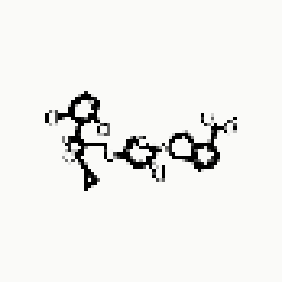 COC(=O)c1cccc2c1CCN(c1ccc(OCc3c(-c4c(Cl)cccc4Cl)noc3C3CC3)cc1Cl)C2